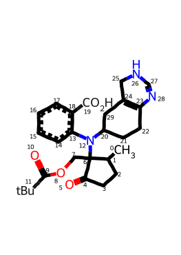 CC1CCC(=O)C1(COC(=O)C(C)(C)C)N(c1ccccc1C(=O)O)C1CCC2=C(CNC=N2)C1